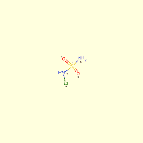 NS(=O)(=O)NCl